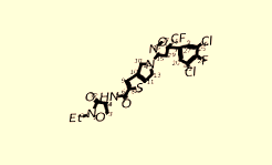 CCN1OC[C@@H](NC(=O)c2cc3c(s2)CN(C2=NOC(c4cc(Cl)c(F)c(Cl)c4)(C(F)(F)F)C2)C3)C1=O